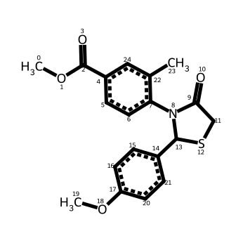 COC(=O)c1ccc(N2C(=O)CSC2c2ccc(OC)cc2)c(C)c1